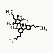 Bc1c(B)c(Nc2ccc(CCCC)cc2-c2ccc(CCCC)cc2)c(B)c(B)c1CCCC